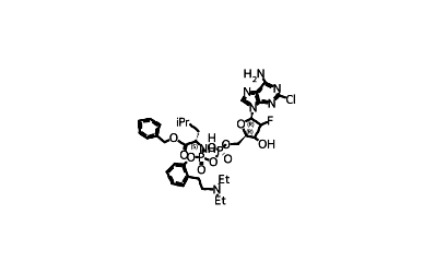 CCN(CC)CCc1ccccc1OP(=O)(N[C@@H](CC(C)C)C(=O)OCc1ccccc1)OP(=O)(O)OC[C@H]1O[C@@H](n2cnc3c(N)nc(Cl)nc32)C(F)C1O